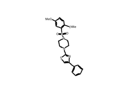 COc1ccc(OC)c(S(=O)(=O)N2CCN(c3nc(-c4ccccc4)cs3)CC2)c1